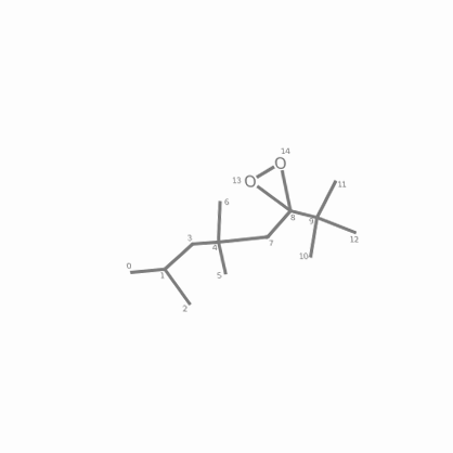 CC(C)CC(C)(C)CC1(C(C)(C)C)OO1